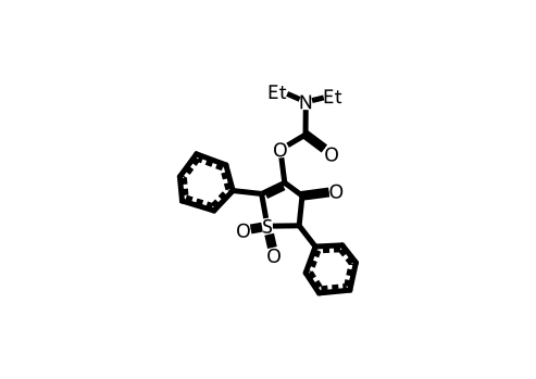 CCN(CC)C(=O)OC1=C(c2ccccc2)S(=O)(=O)C(c2ccccc2)C1=O